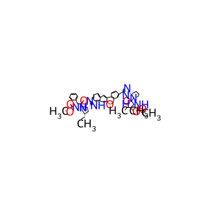 CCC[C@H]1C[C@@H](c2nc3ccc4cc5c(cc4c3[nH]2)OCc2cc(-c3cnc([C@@H]4CCCN4C(=O)[C@@H](NC(=O)OC)[C@@H](C)CC)[nH]3)ccc2-5)N(C(=O)[C@H](NC(=O)OC)c2ccccc2)C1